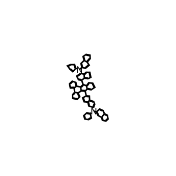 c1ccc(N(c2ccc3ccccc3c2)c2ccc3cc(-c4c5ccccc5c(-c5ccc(N(c6ccccc6)c6ccc7ccccc7c6)c6ccccc56)c5c6ccccc6c6ccccc6c45)ccc3c2)cc1